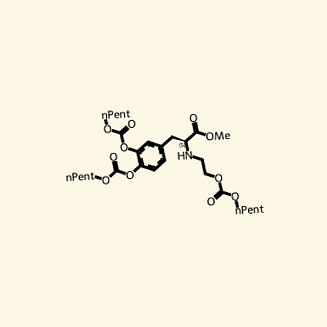 CCCCCOC(=O)OCCN[C@@H](Cc1ccc(OC(=O)OCCCCC)c(OC(=O)OCCCCC)c1)C(=O)OC